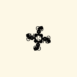 O=C(c1ccc(-c2c3nc(c(-c4ccc(C(=O)N5CCCO5)cc4)c4ccc([nH]4)c(-c4ccc(C(=O)N5CCCO5)cc4)c4nc(c(-c5ccc(C(=O)N6CCCO6)cc5)c5ccc2[nH]5)C=C4)C=C3)cc1)N1CCCO1